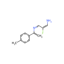 C=C(/N=C\C(F)=C/N)c1ccc(C)cc1